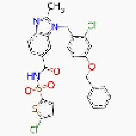 Cc1nc2ccc(C(=O)NS(=O)(=O)c3ccc(Cl)s3)cc2n1Cc1ccc(OCc2ccccc2)cc1Cl